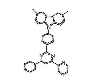 Cc1ccc2c(c1)c1cc(C)ccc1n2-c1ccc(-c2nc(-c3ccccc3)cc(-c3ccccn3)n2)cc1